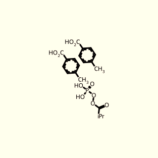 CC(C)C(=O)OOP(=O)(O)O.Cc1ccc(C(=O)O)cc1.Cc1ccc(C(=O)O)cc1